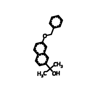 CC(C)(O)c1ccc2ccc(OCc3ccccc3)cc2c1